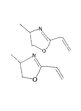 C=CC1=NC(C)CO1.C=CC1=NC(C)CO1